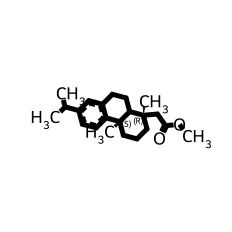 COC(=O)C[C@@]1(C)CCC[C@]2(C)c3ccc(C(C)C)cc3CCC12